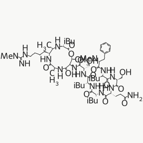 CC[C@H](C)[C@H](NC(=O)[C@@H](Cc1ccccc1)NC)C(=O)N[C@@H](CO)C(=O)N[C@H](CCC(N)=O)C(=O)N[C@@H](C(=O)N[C@H](C(=O)N[C@@H](CO)C(=O)N[C@H]1C(=O)N[C@@H](C)C(=O)N[C@@H](CCCCNC(=N)NC)C(C)N[C@@H]([C@@H](C)CC)C(=O)O[C@H]1C)[C@@H](C)CC)[C@@H](C)CC